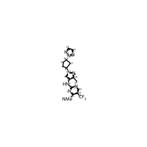 CNc1nc(Nc2cn([C@H]3CC[C@H](n4nccn4)C3)nc2C)ncc1C(F)(F)F